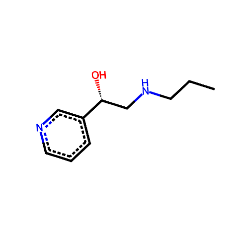 CCCNC[C@@H](O)c1cccnc1